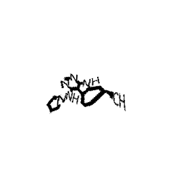 C#Cc1ccc2c(c1)[nH]c1ncnc(NN3CCCC3)c12